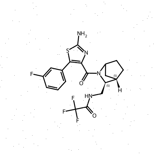 Nc1nc(C(=O)N2C3CC[C@@H](C3)[C@H]2CNC(=O)C(F)(F)F)c(-c2cccc(F)c2)s1